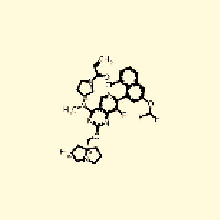 C=CC(=O)N1CC[C@@H](N(C)c2nc(OC[C@@]34CCCN3C[C@H](F)C4)nc3c(F)c(-c4cc(OC(F)F)cc5cccc(Cl)c45)ncc23)C1